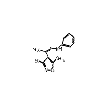 CCc1noc(C)c1C(C)=NNc1ccccc1